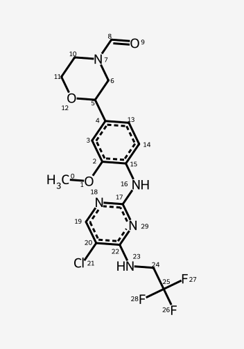 COc1cc(C2CN(C=O)CCO2)ccc1Nc1ncc(Cl)c(NCC(F)(F)F)n1